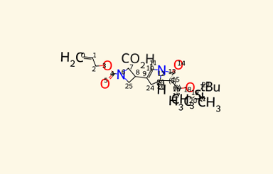 C=CCOC(=O)N1CC(C2=C(C(=O)O)N3C(=O)[C@H]([C@@H](C)O[Si](C)(C)C(C)(C)C)[C@H]3C2)C1